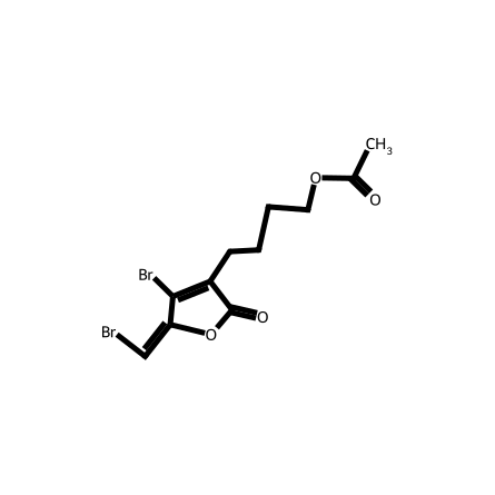 CC(=O)OCCCCC1=C(Br)C(=CBr)OC1=O